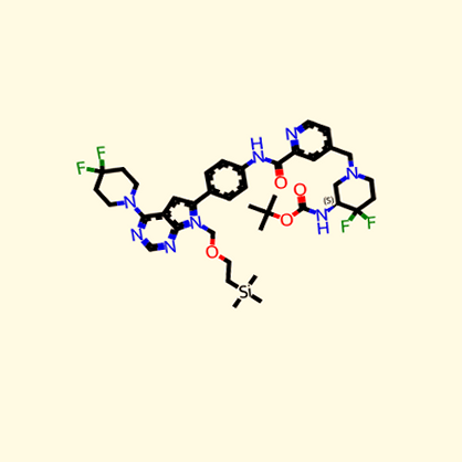 CC(C)(C)OC(=O)N[C@H]1CN(Cc2ccnc(C(=O)Nc3ccc(-c4cc5c(N6CCC(F)(F)CC6)ncnc5n4COCC[Si](C)(C)C)cc3)c2)CCC1(F)F